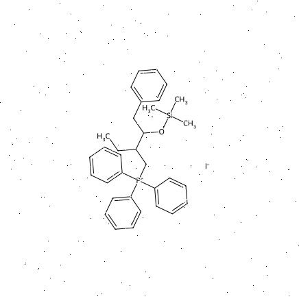 CCC(C[P+](c1ccccc1)(c1ccccc1)c1ccccc1)C(Cc1ccccc1)O[Si](C)(C)C.[I-]